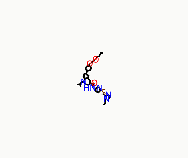 CCCCOCCOc1ccc(-c2ccc3c(c2)C=C(C(=O)Nc2ccc(SCc4nccn4CCC)nc2)CCN3CC(C)C)cc1